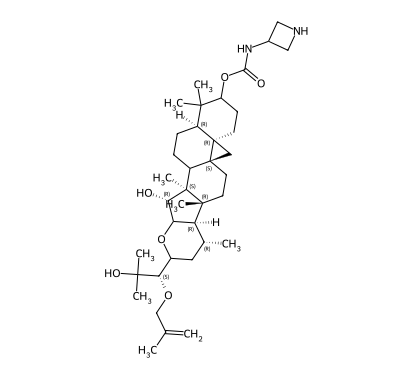 C=C(C)CO[C@@H](C1C[C@@H](C)[C@H]2C(O1)[C@H](O)[C@@]1(C)C3CC[C@H]4C(C)(C)C(OC(=O)NC5CNC5)CC[C@@]45C[C@@]35CC[C@]21C)C(C)(C)O